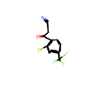 N#CCC(=O)c1ccc(C(F)(F)F)cc1F